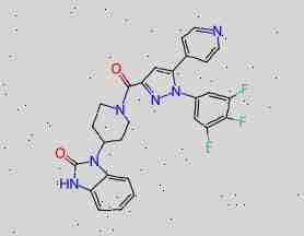 O=C(c1cc(-c2ccncc2)n(-c2cc(F)c(F)c(F)c2)n1)N1CCC(n2c(=O)[nH]c3ccccc32)CC1